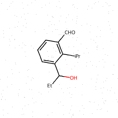 CCC(O)c1cccc(C=O)c1C(C)C